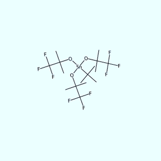 CC(C)([O][Sn]([O]C(C)(C)C(F)(F)F)([O]C(C)(C)C(F)(F)F)[C](C)(C)C)C(F)(F)F